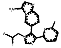 Cc1cccc(-c2ncn(CC(F)F)c2-c2ccc3ncc(N)n3c2)n1